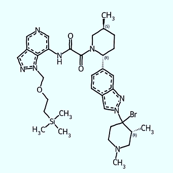 C[C@H]1CC[C@H](c2ccc3cn(C4(Br)CCN(C)C[C@H]4C)nc3c2)N(C(=O)C(=O)Nc2cncc3cnn(COCC[Si](C)(C)C)c23)C1